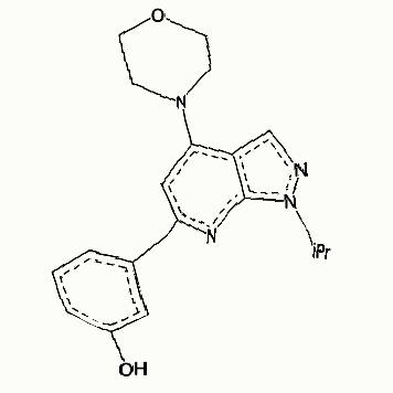 CC(C)n1ncc2c(N3CCOCC3)cc(-c3cccc(O)c3)nc21